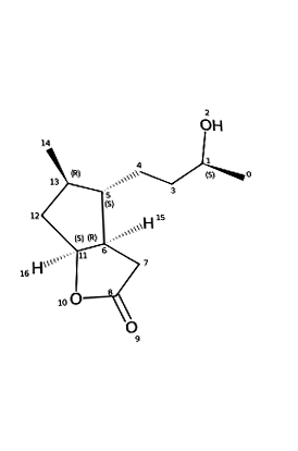 C[C@H](O)CC[C@@H]1[C@H]2CC(=O)O[C@H]2C[C@H]1C